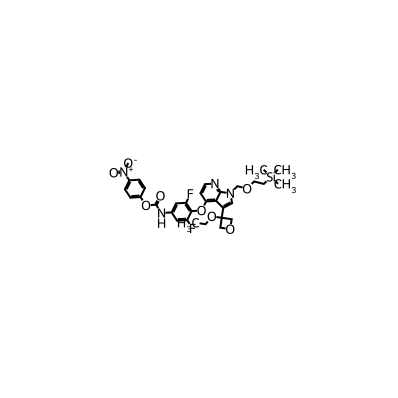 CCOC1(c2cn(COCC[Si](C)(C)C)c3nccc(Oc4c(F)cc(NC(=O)Oc5ccc([N+](=O)[O-])cc5)cc4F)c23)COC1